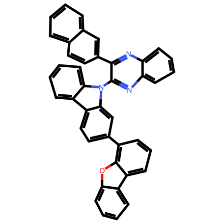 c1ccc2cc(-c3nc4ccccc4nc3-n3c4ccccc4c4ccc(-c5cccc6c5oc5ccccc56)cc43)ccc2c1